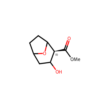 COC(=O)[C@H]1C(O)CC2CCC1O2